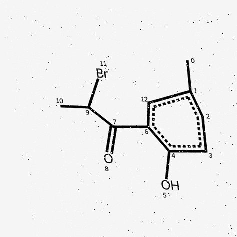 Cc1ccc(O)c(C(=O)C(C)Br)c1